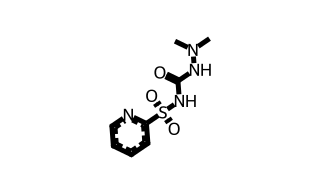 CN(C)NC(=O)NS(=O)(=O)c1ccccn1